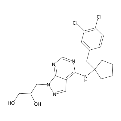 OCC(O)Cn1ncc2c(NC3(Cc4ccc(Cl)c(Cl)c4)CCCC3)ncnc21